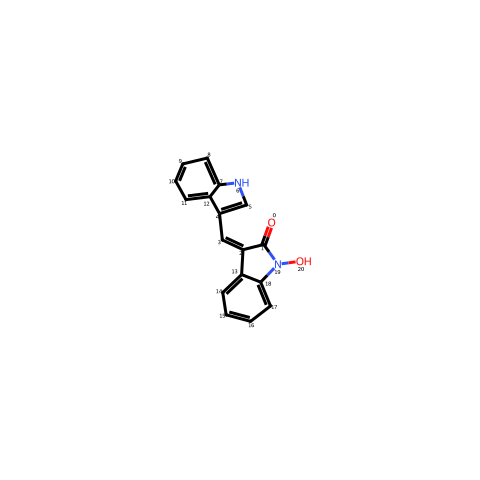 O=C1/C(=C\c2c[nH]c3ccccc23)c2ccccc2N1O